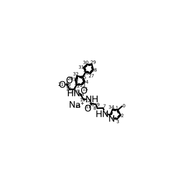 Cc1ccnc(NCCCC(=O)NCC(=O)NC(CC(=O)[O-])c2ccc(-c3ccccc3)cc2)c1.[Na+]